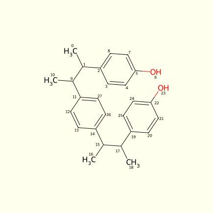 CC(c1ccc(O)cc1)C(C)c1ccc(C(C)C(C)c2ccc(O)cc2)cc1